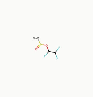 COS(=O)OC(F)C(F)F